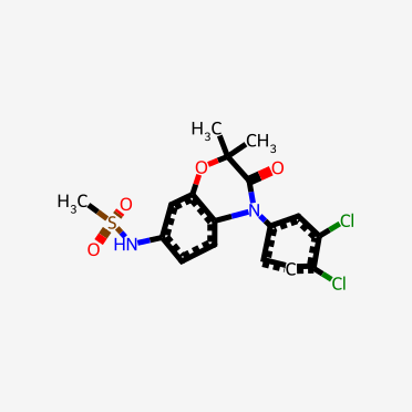 CC1(C)Oc2cc(NS(C)(=O)=O)ccc2N(c2ccc(Cl)c(Cl)c2)C1=O